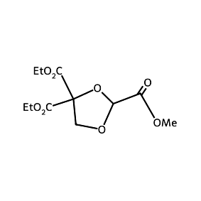 CCOC(=O)C1(C(=O)OCC)COC(C(=O)OC)O1